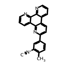 [C-]#[N+]c1cc(-c2ccc3c4cccnc4c4ncccc4c3n2)ccc1C